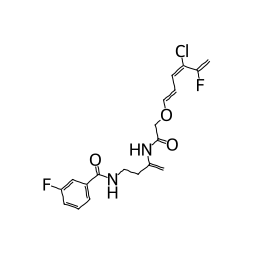 C=C(CCNC(=O)c1cccc(F)c1)NC(=O)CO/C=C/C=C(/Cl)C(=C)F